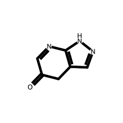 O=C1C=Nc2[nH]ncc2C1